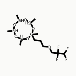 C[SiH]1O[SiH](C)O[SiH](C)O[Si](C)(CCCOCC(F)(F)C(F)F)O[SiH](C)O1